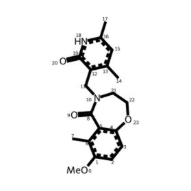 COc1ccc2c(c1C)C(=O)N(Cc1c(C)cc(C)[nH]c1=O)CCO2